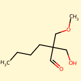 CCCCC(C=O)(CO)COC